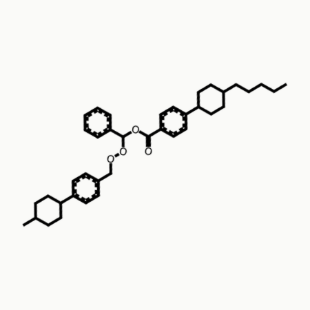 CCCCCC1CCC(c2ccc(C(=O)OC(OOCc3ccc(C4CCC(C)CC4)cc3)c3ccccc3)cc2)CC1